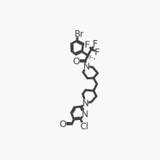 C[C@](C(=O)N1CCC(CC2CCN(c3ccc(C=O)c(Cl)n3)CC2)CC1)(c1cccc(Br)c1)C(F)(F)F